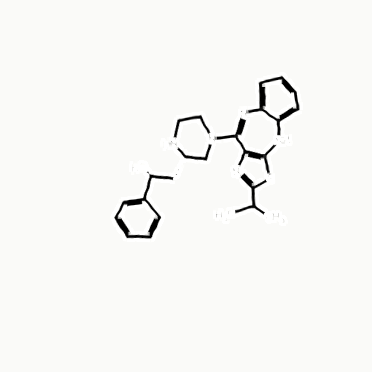 CC(C)c1nc2c(s1)Nc1ccccc1N=C2N1CCN[C@@H](C[C@H](O)c2ccccc2)C1